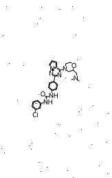 CN(C)CC1CN(c2nc(-c3ccc(NC(=O)Nc4cccc(Cl)c4)cc3)nn3cccc23)CCO1